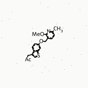 COc1nc(C)ccc1COc1ccc2c(CC(C)=O)csc2c1